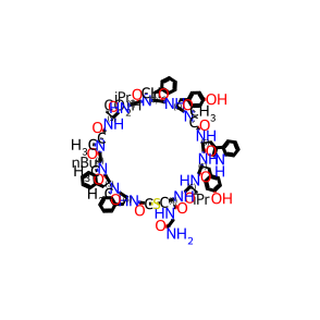 CCCC[C@H]1C(=O)N(C)CC(=O)N[C@@H](CC(=O)O)C(=O)N[C@@H](C(C)C)C(=O)N(C)[C@@H](Cc2ccccc2)C(=O)N[C@@H](Cc2ccc(O)cc2)C(=O)N(C)CC(=O)N[C@@H](Cc2c[nH]c3ccccc23)C(=O)N[C@@H](Cc2ccc(O)cc2)C(=O)N[C@@H](CC(C)C)C(=O)N[C@H](C(=O)NCC(N)=O)CSCC(=O)N[C@@H](Cc2ccccc2)C(=O)N(C)[C@@H](Cc2ccccc2)C(=O)N1C